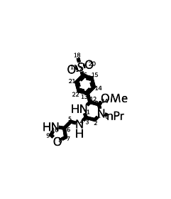 CCCN1CC(NCC2COCN2)NC(c2ccc(S(C)(=O)=O)cc2)C1OC